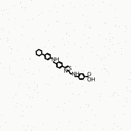 O=C(O)c1ccc(CNCc2nc(-c3ccc(CNc4ccc(C5CCCCC5)cc4)cc3)cs2)cc1